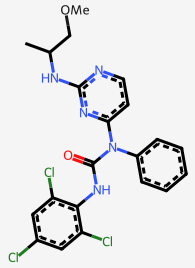 COCC(C)Nc1nccc(N(C(=O)Nc2c(Cl)cc(Cl)cc2Cl)c2ccccc2)n1